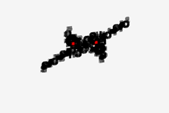 COCCOCCOCCOCC(C(=O)O)N(CCN(Cc1cc(OC)ccc1O)C(COCCOCCOCCOC)C(=O)O)Cc1cc(OC)ccc1O